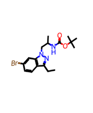 CCc1nn(CC(C)NC(=O)OC(C)(C)C)c2cc(Br)ccc12